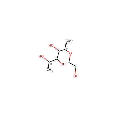 CO[C@@H](OCCO)C(O)C(O)[C@@H](C)O